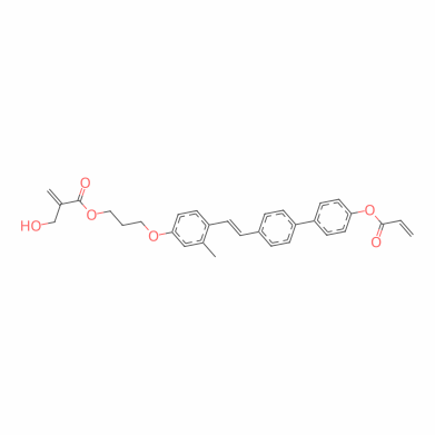 C=CC(=O)Oc1ccc(-c2ccc(/C=C/c3ccc(OCCCOC(=O)C(=C)CO)cc3C)cc2)cc1